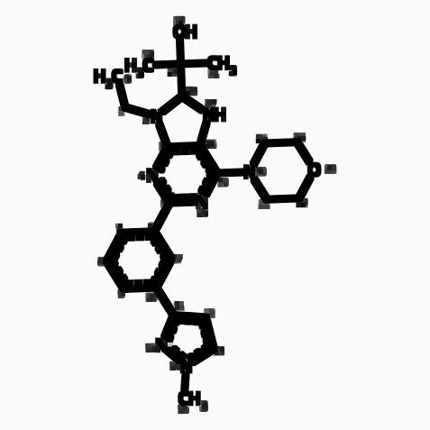 CCN1c2nc(-c3cccc(-c4ccn(C)n4)c3)nc(N3CCOCC3)c2NC1C(C)(C)O